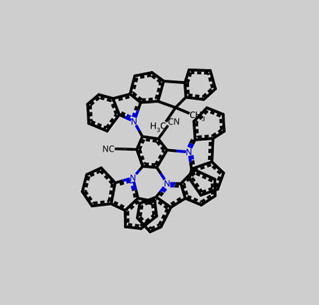 CC1(C)c2ccccc2-c2ccc3c4ccccc4n(-c4c(C#N)c(-n5c6ccccc6c6ccccc65)c(-n5c6ccccc6c6ccccc65)c(-n5c6ccccc6c6ccccc65)c4C#N)c3c21